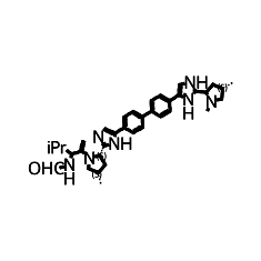 C=C(C(NC=O)C(C)C)N1C[C@@H](C)C[C@H]1c1ncc(-c2ccc(-c3ccc(C4=CNC(C5C[C@H](C)CN5C)N4)cc3)cc2)[nH]1